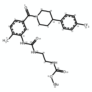 Cc1ccc(C(=O)N2CCC(c3ccc(C(F)(F)F)cc3)CC2)cc1NC(=O)NCCNC(=O)OC(C)(C)C